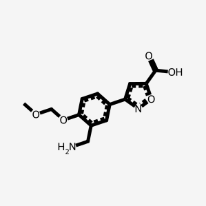 COCOc1ccc(-c2cc(C(=O)O)on2)cc1CN